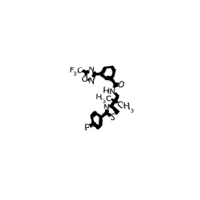 CC(C)(CNC(=O)c1cccc(-c2noc(C(F)(F)F)n2)c1)c1csc(-c2ccc(F)cc2)n1